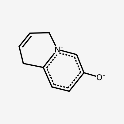 [O-]c1ccc2[n+](c1)CC=CC2